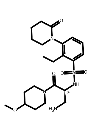 CCc1c(N2CCCCC2=O)cccc1S(=O)(=O)N[C@@H](CN)C(=O)N1CCC(OC)CC1